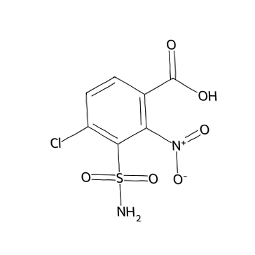 NS(=O)(=O)c1c(Cl)ccc(C(=O)O)c1[N+](=O)[O-]